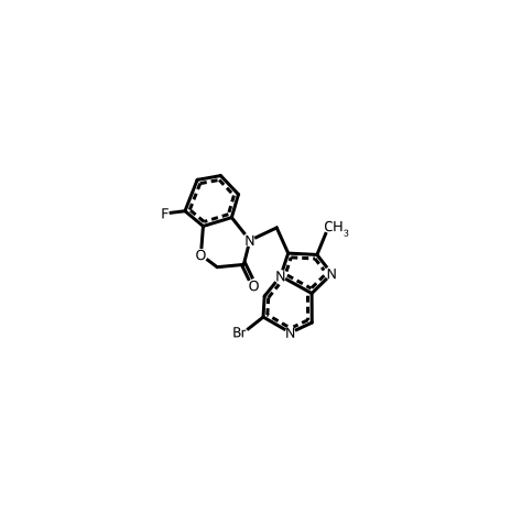 Cc1nc2cnc(Br)cn2c1CN1C(=O)COc2c(F)cccc21